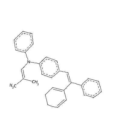 CC(C)=CN(c1ccccc1)c1ccc(/C=C(\C2=CCCC=C2)c2ccccc2)cc1